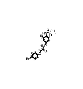 CS(=O)(=O)Nc1ccc(CNC(=O)COc2ccc(Br)cc2)cc1F